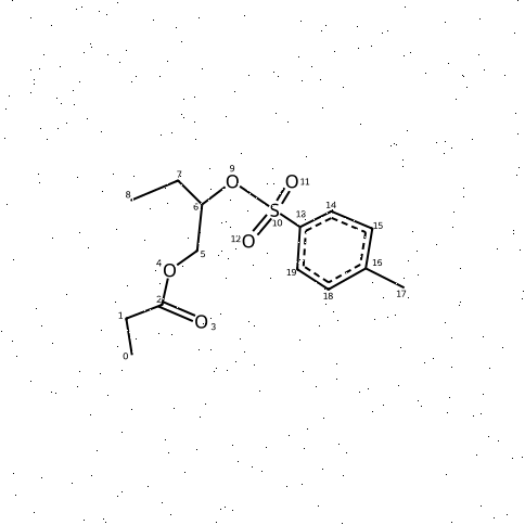 CCC(=O)OCC(CC)OS(=O)(=O)c1ccc(C)cc1